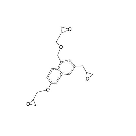 c1cc2c(COCC3CO3)cc(CC3CO3)cc2cc1OCC1CO1